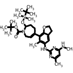 CNc1cc(C)nc(Nc2cc3c(c(C4=CCN(C(=O)OC(C)(C)C)C(O[Si](C)(C)C(C)(C)C)CC4)c2C)OCC3)n1